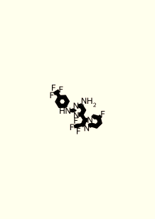 Nc1cc(-c2c(C(F)(F)F)nc3ccc(F)cn23)nc(Nc2ccc(C(F)(F)F)cc2)n1